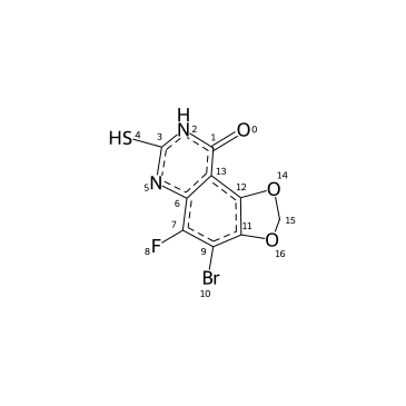 O=c1[nH]c(S)nc2c(F)c(Br)c3c(c12)OCO3